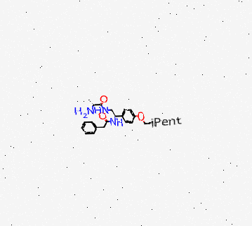 CCCC(C)COc1ccc([C@H](CNC(=O)[C@@H](C)N)NC(=O)Cc2ccccc2)cc1